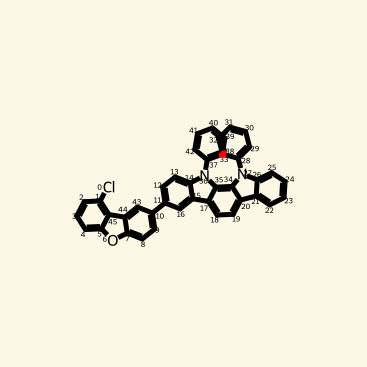 Clc1cccc2oc3ccc(-c4ccc5c(c4)c4ccc6c7ccccc7n(-c7ccccc7)c6c4n5-c4ccccc4)cc3c12